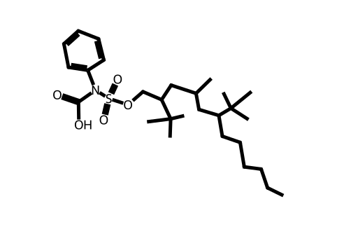 CCCCCCC(CC(C)CC(COS(=O)(=O)N(C(=O)O)c1ccccc1)C(C)(C)C)C(C)(C)C